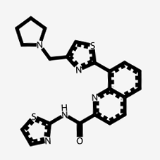 O=C(Nc1nccs1)c1ccc2cccc(-c3nc(CN4CCCC4)cs3)c2n1